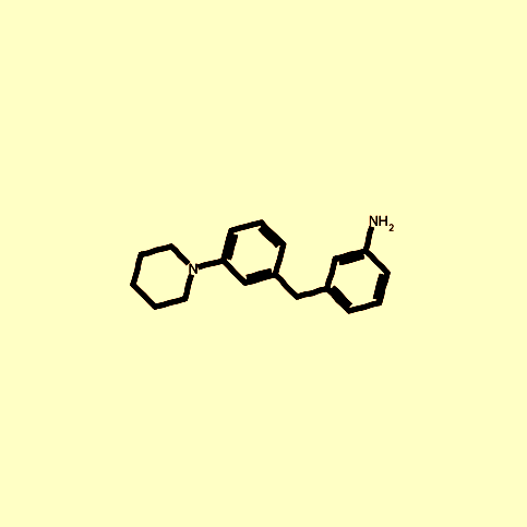 Nc1cccc(Cc2cccc(N3CCCCC3)c2)c1